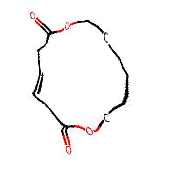 O=C1C/C=C/CC(=O)OCCCCCCO1